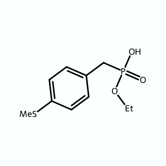 CCOP(=O)(O)Cc1ccc(SC)cc1